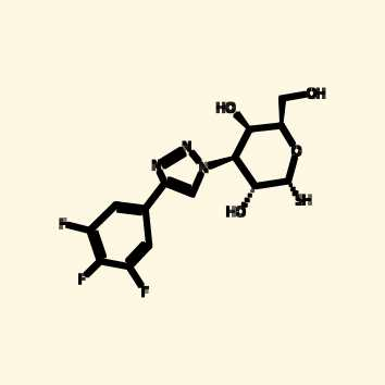 OC[C@H]1O[C@H](S)[C@H](O)[C@@H](n2cc(-c3cc(F)c(F)c(F)c3)nn2)[C@H]1O